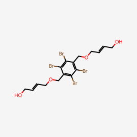 OCC=CCOCc1c(Br)c(Br)c(COCC=CCO)c(Br)c1Br